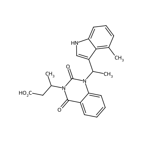 Cc1cccc2[nH]cc(C(C)n3c(=O)n(C(C)CC(=O)O)c(=O)c4ccccc43)c12